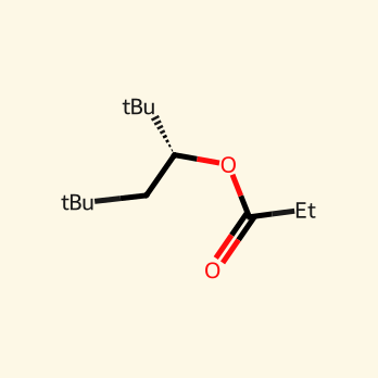 CCC(=O)O[C@H](CC(C)(C)C)C(C)(C)C